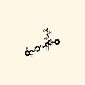 CC(=O)NCCNc1nc(-c2ccccc2)nc2[nH]c(COC3CCN(CCc4c(F)cccc4Cl)CC3)cc12